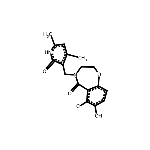 Cc1cc(C)c(CN2CCOc3ccc(O)c(Cl)c3C2=O)c(=O)[nH]1